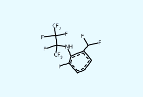 FC(F)c1cccc(I)c1NC(F)(C(F)(F)F)C(F)(F)C(F)(F)F